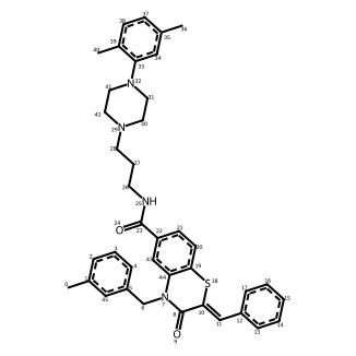 Cc1cccc(CN2C(=O)C(=Cc3ccccc3)Sc3ccc(C(=O)NCCCN4CCN(c5cc(C)ccc5C)CC4)cc32)c1